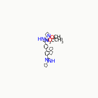 CC(C)(C)OC(=O)N1CCCC1c1nc(-c2ccc(-c3ccc(-c4c[nH]c(C5CCCC5)n4)c4c3C3(CCCC3)CC4)cc2)c[nH]1